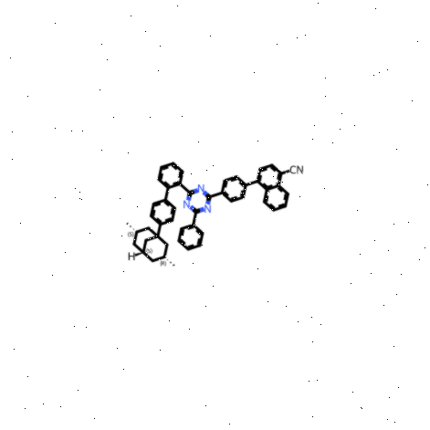 C[C@@H]1C[C@@H]2C[C@H](C)CC(c3ccc(-c4ccccc4-c4nc(-c5ccccc5)nc(-c5ccc(-c6ccc(C#N)c7ccccc67)cc5)n4)cc3)(C1)C2